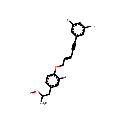 CCOC(Cc1ccc(OCC=CC#Cc2cc(C(F)(F)F)cc(C(F)(F)F)c2)c(I)c1)C(=O)O